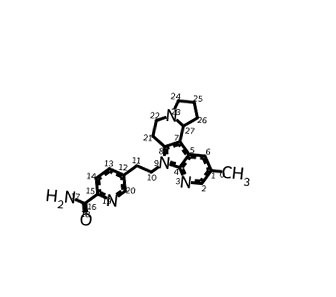 Cc1cnc2c(c1)c1c(n2CCc2ccc(C(N)=O)nc2)CCN2CCCC12